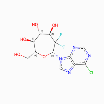 OC[C@H]1O[C@@H](n2cnc3c(Cl)ncnc32)C(F)(F)[C@H](O)[C@@H](O)[C@@H]1O